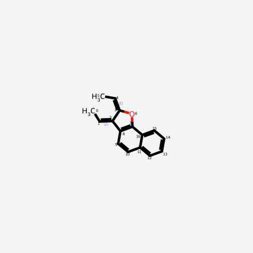 C/C=c1\c(=C/C)oc2c1ccc1ccccc12